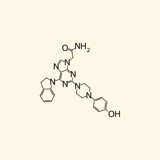 NC(=O)Cn1cnc2c(N3CCc4ccccc43)nc(N3CCN(c4ccc(O)cc4)CC3)nc21